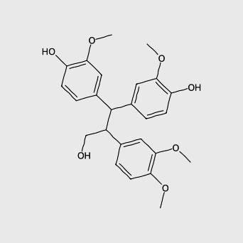 COc1cc(C(c2ccc(O)c(OC)c2)C(CO)c2ccc(OC)c(OC)c2)ccc1O